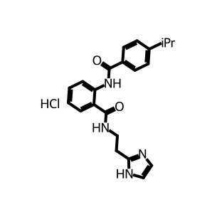 CC(C)c1ccc(C(=O)Nc2ccccc2C(=O)NCCc2ncc[nH]2)cc1.Cl